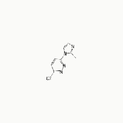 Cc1nccn1-c1ccc(Cl)nn1